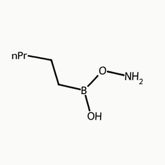 CCCCCB(O)ON